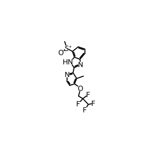 Cc1c(OCC(F)(F)C(F)F)ccnc1-c1nc2cccc([S+](C)[O-])c2[nH]1